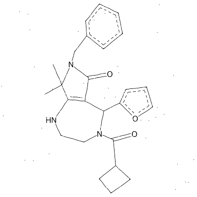 CC1(C)C2=C(C(=O)N1Cc1ccccc1)C(c1ccco1)N(C(=O)C1CCC1)CCN2